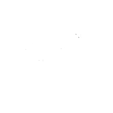 NCc1ccc(C=O)c(OC2CC2)c1